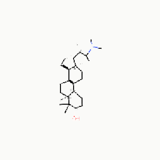 CC([C@@H](C)[C@H]1CC=C2C3=C(CC[C@@]21C)[C@@]1(C)CC[C@H](O)C(C)(C)[C@@H]1CC3)N(C)C